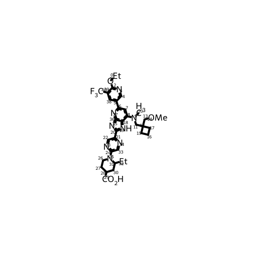 CCOc1ncc(-c2cc(N(C)CC3(COC)CCC3)c3[nH]c(-c4cnc(N5CCC(C(=O)O)CC5CC)cn4)nc3n2)cc1C(F)(F)F